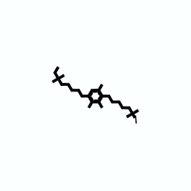 CCC(C)(C)CCCCCc1cc(C)c(CCCCCC(C)(C)I)c(C)c1C